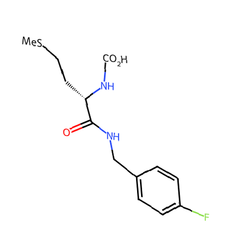 CSCC[C@H](NC(=O)O)C(=O)NCc1ccc(F)cc1